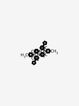 Cc1cc(C)c(B2C3=C4C(=CCC3)N3c5ccc(C6CCCC6)cc5B(c5c(C)cc(C)cc5C)c5cccc(c53)N4c3ccc(C4CCCC4)cc32)c(C)c1